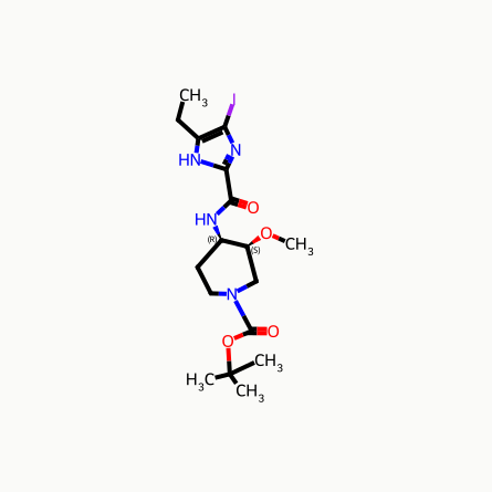 CCc1[nH]c(C(=O)N[C@@H]2CCN(C(=O)OC(C)(C)C)C[C@@H]2OC)nc1I